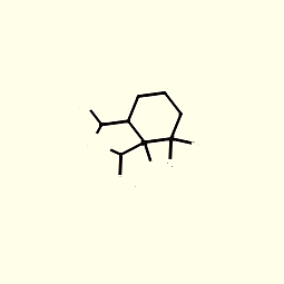 CC(C)C1CCCC(N)(N)C1(C)C(C)C